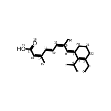 CCC1=C(C(C)C)/C(=C/C(C)=C\C=C\C(C)=C/C(=O)O)CCC1